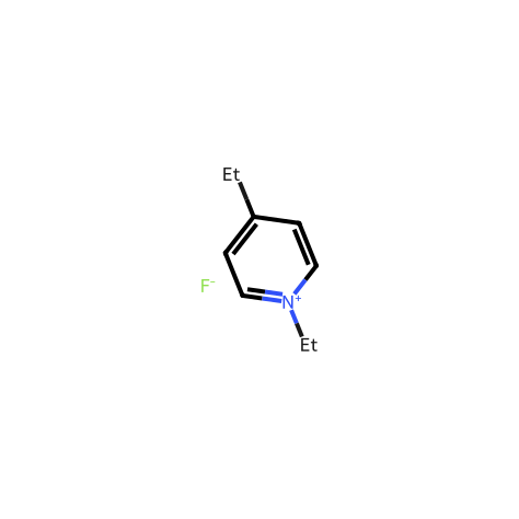 CCc1cc[n+](CC)cc1.[F-]